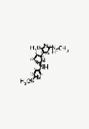 CCNc1nc(C)c(-c2ccnc(Nc3ccc(OC)nc3)n2)s1